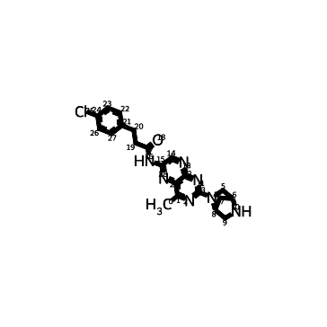 Cc1nc(N2CC3CC2CN3)nc2ncc(NC(=O)CCc3ccc(Cl)cc3)nc12